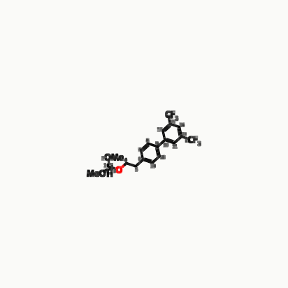 CO[SiH](OC)OCCc1ccc(-c2cc(C(F)(F)F)cc(C(F)(F)F)c2)cc1